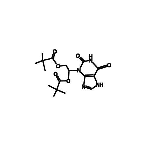 CC(C)(C)C(=O)OCC(OC(=O)C(C)(C)C)n1c(=O)[nH]c(=O)c2[nH]cnc21